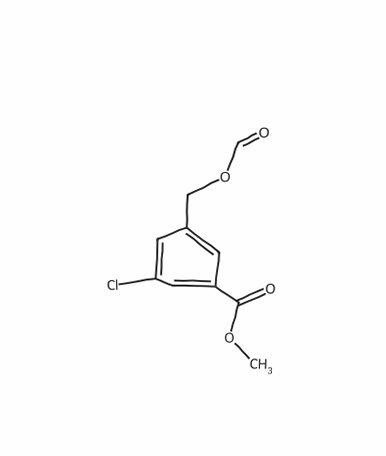 COC(=O)c1cc(Cl)cc(COC=O)c1